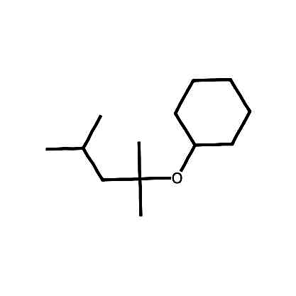 CC(C)CC(C)(C)OC1CCCCC1